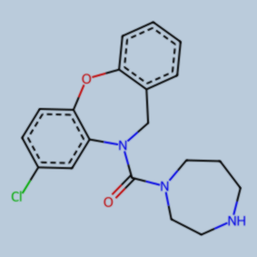 O=C(N1CCCNCC1)N1Cc2ccccc2Oc2ccc(Cl)cc21